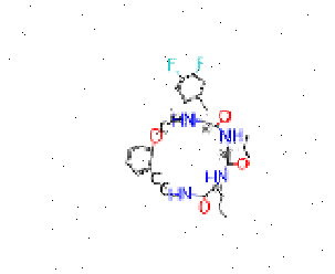 CCC[C@@H]1NC(=O)[C@@H](C(C)C)NC(=O)[C@@H](Cc2ccc(F)c(F)c2)N[C@@H](C)COc2ccccc2CCCNC1=O